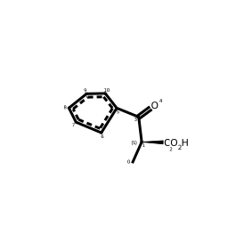 C[C@H](C(=O)O)C(=O)c1ccccc1